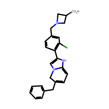 O=C(O)C1CN(Cc2ccc(C3=CN4CC(Cc5ccccc5)=CC=C4N3)c(F)c2)C1